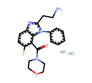 Cl.Cl.NCCc1nc2ccc(F)c(C(=O)N3CCOCC3)c2n1-c1ccccc1